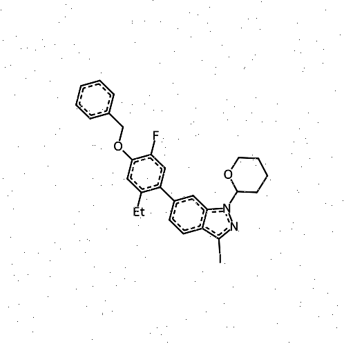 CCc1cc(OCc2ccccc2)c(F)cc1-c1ccc2c(I)nn(C3CCCCO3)c2c1